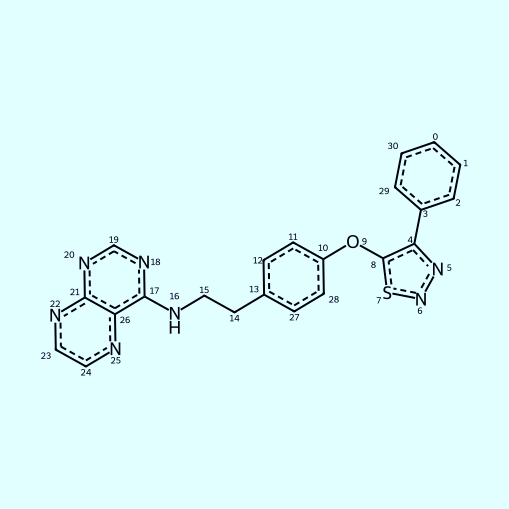 c1ccc(-c2nnsc2Oc2ccc(CCNc3ncnc4nccnc34)cc2)cc1